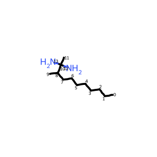 CCCCCCCCC(C)C(C)(N)N